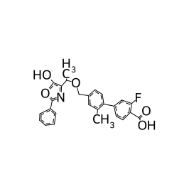 Cc1cc(COC(C)c2nc(-c3ccccc3)oc2O)ccc1-c1ccc(C(=O)O)c(F)c1